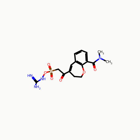 CN(C)C(=O)c1cccc2c1OCCC(C(=O)CS(=O)(=O)ONC(=N)N)=C2